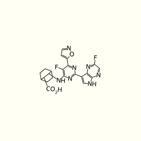 O=C(O)C1C2CCC(CC2)C1Nc1nc(-c2c[nH]c3ncc(F)nc23)nc(-c2ccno2)c1F